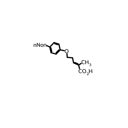 CCCCCCCCCc1ccc(OCCC=C(C)C(=O)O)cc1